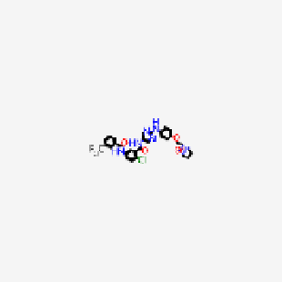 O=C(Nc1ccc(Cl)c(C(=O)Nc2cnc(Nc3ccc(OCC[N+]4([O-])CCCC4)cc3)nc2)c1)c1cccc(C(F)(F)F)c1